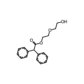 O=C(OCCOCCO)C(c1ccccc1)c1ccccc1